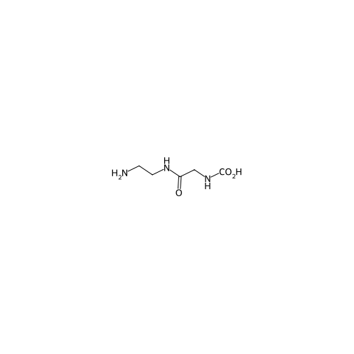 NCCNC(=O)CNC(=O)O